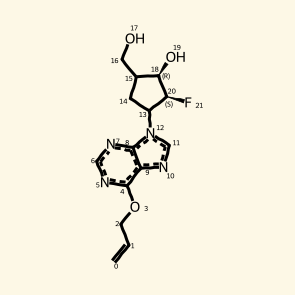 C=CCOc1ncnc2c1ncn2C1CC(CO)[C@@H](O)[C@H]1F